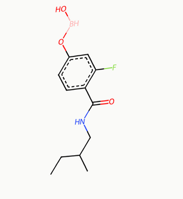 CCC(C)CNC(=O)c1ccc(OBO)cc1F